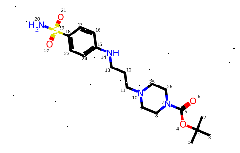 CC(C)(C)OC(=O)N1CCN(CCCNc2ccc(S(N)(=O)=O)cc2)CC1